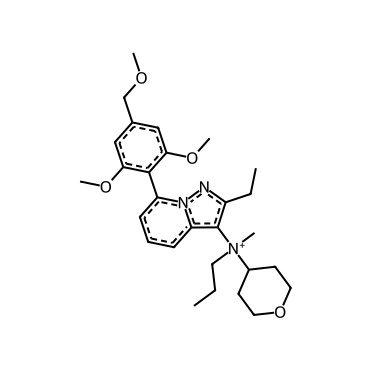 CCC[N+](C)(c1c(CC)nn2c(-c3c(OC)cc(COC)cc3OC)cccc12)C1CCOCC1